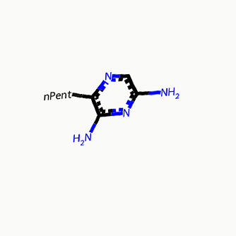 CCCCCc1ncc(N)nc1N